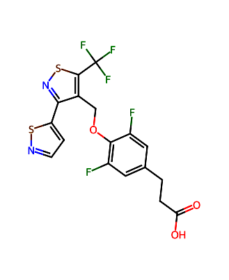 O=C(O)CCc1cc(F)c(OCc2c(-c3ccns3)nsc2C(F)(F)F)c(F)c1